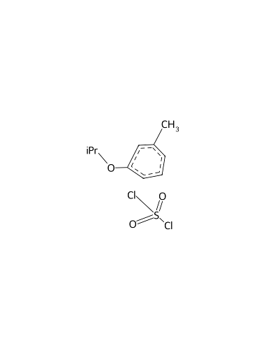 Cc1cccc(OC(C)C)c1.O=S(=O)(Cl)Cl